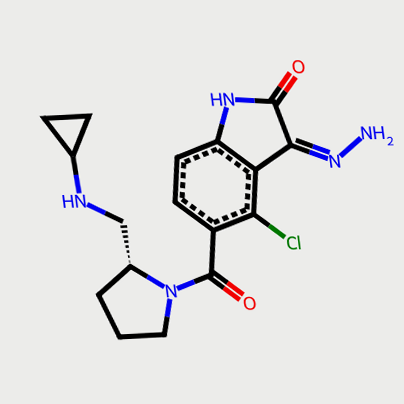 N/N=C1\C(=O)Nc2ccc(C(=O)N3CCC[C@@H]3CNC3CC3)c(Cl)c21